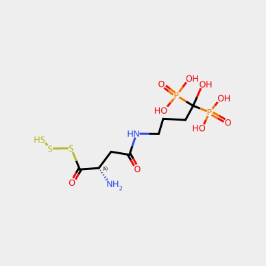 N[C@@H](CC(=O)NCCCC(O)(P(=O)(O)O)P(=O)(O)O)C(=O)SSS